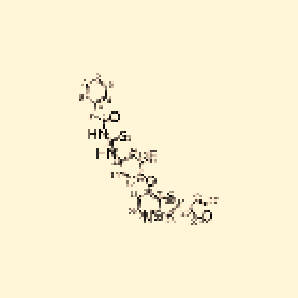 O=C(Cc1ccccc1)NC(=S)Nc1ccc(Oc2ccnc3cc(-c4ccoc4)sc23)c(F)c1